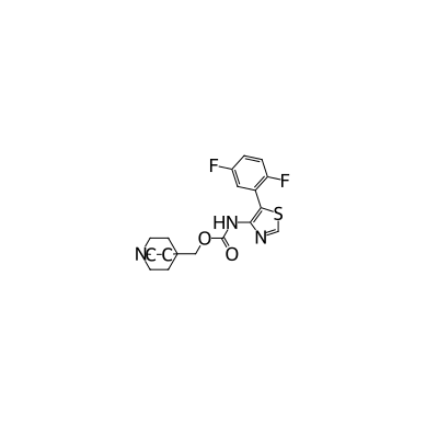 O=C(Nc1ncsc1-c1cc(F)ccc1F)OCC12CCN(CC1)CC2